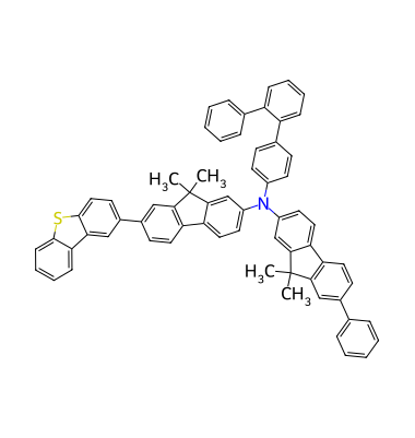 CC1(C)c2cc(-c3ccccc3)ccc2-c2ccc(N(c3ccc(-c4ccccc4-c4ccccc4)cc3)c3ccc4c(c3)C(C)(C)c3cc(-c5ccc6sc7ccccc7c6c5)ccc3-4)cc21